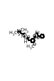 COc1cc(CC(=O)Nc2nc(-c3sc(C)nc3C)cs2)cc(C(=O)N[C@H](c2ccccc2)C(F)(F)F)c1